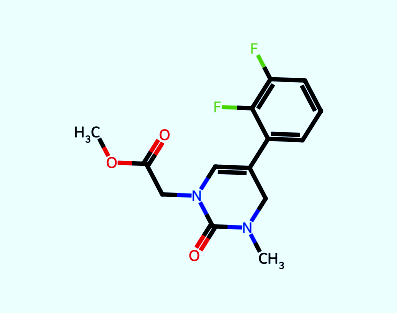 COC(=O)CN1C=C(c2cccc(F)c2F)CN(C)C1=O